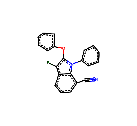 N#Cc1cccc2c(F)c(Oc3ccccc3)n(-c3ccccc3)c12